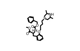 COC(=O)C(Cc1ccccc1OCCCCN1CC(C)NC(C)C1)NC(=O)OCc1ccccc1